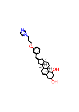 C[C@]12CC[C@@H]3[C@@H](CC=C4CC(O)CC(O)[C@@]43C)[C@@H]1CC(=Cc1cccc(OCCCn3ccnc3)c1)C2